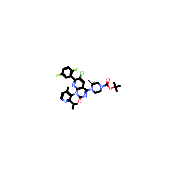 Cc1ccnc(C(C)C)c1-n1c(=O)nc(N2CCN(C(=O)OC(C)(C)C)C[C@@H]2C)c2cc(Cl)c(-c3cc(F)ccc3F)nc21